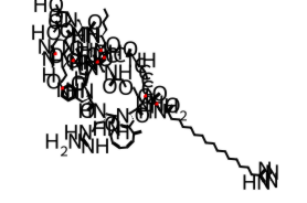 C=C1/C=C\C=C/CN/C=C\1C[C@@H]1NC(=O)[C@H](CCCNC(=N)N)NC(=O)[C@@H](Cc2ccccc2)NC(=O)[C@@H]2C[C@@H](O)CN2C(=O)[C@@H](NC(=O)[C@H](CCCC)NC(=O)[C@H](CN(CC(=O)O)CC(=O)O)NC(=O)[C@H](Cc2c[nH]cn2)NC(=O)[C@H](CCC(N)=O)NC(=O)[C@H](CO)NC(=O)CNC(=O)COCCOCCNC(=O)CCCCCCCCCCCCCCCc2nnn[nH]2)CCC(=O)NCCCC[C@@H](C(N)=O)NC1=O